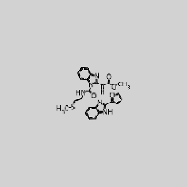 COC(=O)Nc1nc2ccccc2n1C(=O)NCCSC.c1coc(-c2nc3ccccc3[nH]2)c1